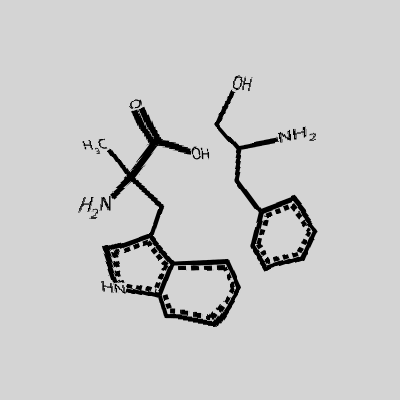 CC(N)(Cc1c[nH]c2ccccc12)C(=O)O.NC(CO)Cc1ccccc1